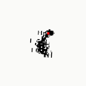 CC(CCC(=O)OCC(=O)OC1(C)C2CC3CC(C2)CC1C3)C1CCC2C3C(O)CC4CC(O)CCC4(C)C3CC(O)C12C